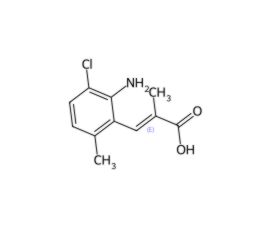 C/C(=C\c1c(C)ccc(Cl)c1N)C(=O)O